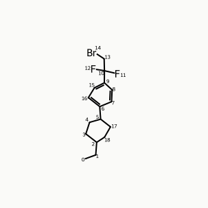 CCC1CCC(c2ccc(C(F)(F)CBr)cc2)CC1